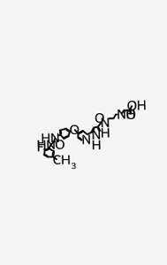 Cc1ccc(F)c(NC(=O)Nc2ccc(Oc3ccnc(-c4cc(C(=O)NCCCNCC(=O)O)c[nH]4)c3)cc2)c1